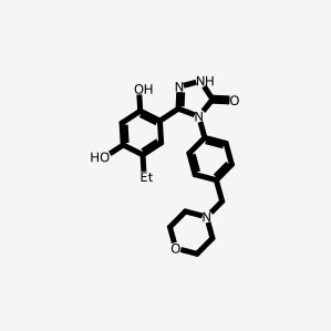 CCc1cc(-c2n[nH]c(=O)n2-c2ccc(CN3CCOCC3)cc2)c(O)cc1O